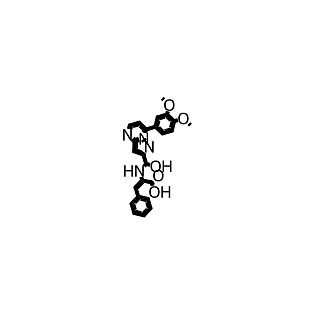 COc1ccc(-c2ccnc3cc(C(O)NC(=Cc4ccccc4)C(=O)O)nn23)cc1OC